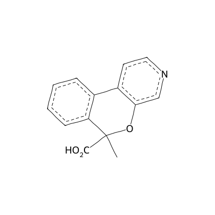 CC1(C(=O)O)Oc2cnccc2-c2ccccc21